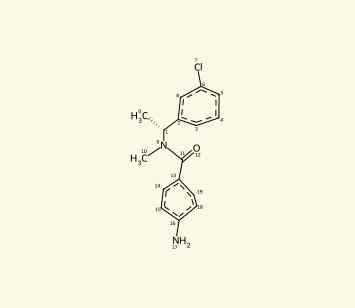 C[C@H](c1cccc(Cl)c1)N(C)C(=O)c1ccc(N)cc1